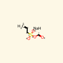 C=CCS(=O)(=O)OC=O.[NaH]